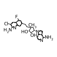 C[C@]1(CCc2cc(F)c3cc(Cl)c(N)nc3c2)C[C@@H](n2ccc3c(N)nccc32)[C@H](O)[C@@H]1O